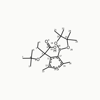 CCC(OC(C)(C)C)(C(=O)O)c1c(C)sc(C)c1B1OC(C)(C)C(C)(C)O1